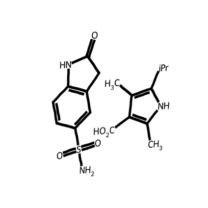 Cc1[nH]c(C(C)C)c(C)c1C(=O)O.NS(=O)(=O)c1ccc2c(c1)CC(=O)N2